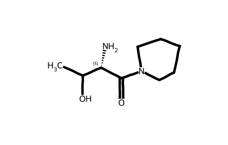 CC(O)[C@H](N)C(=O)N1CCCCC1